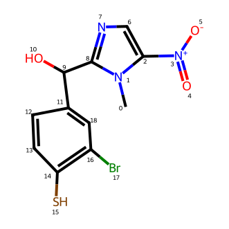 Cn1c([N+](=O)[O-])cnc1C(O)c1ccc(S)c(Br)c1